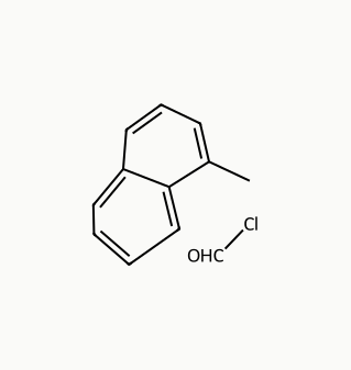 Cc1cccc2ccccc12.O=CCl